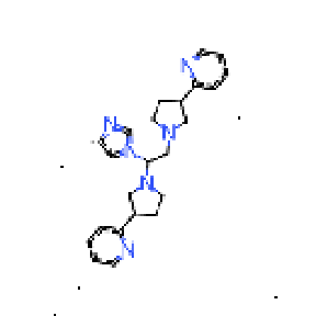 [c]1cn(C(CN2CCC(c3ccccn3)C2)N2CCC(c3ccccn3)C2)cn1